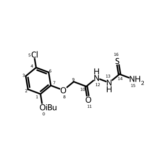 CC(C)COc1ccc(Cl)cc1OCC(=O)NNC(N)=S